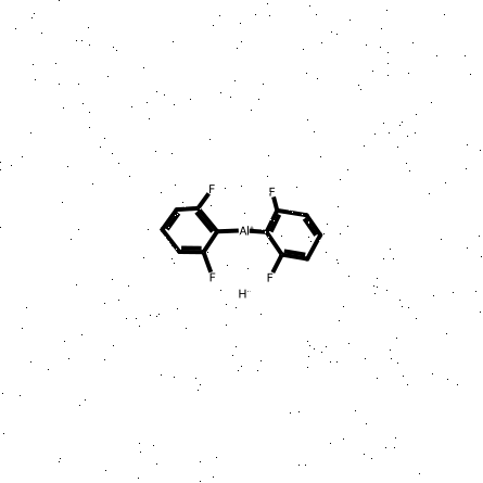 Fc1cccc(F)[c]1[Al+][c]1c(F)cccc1F.[H-]